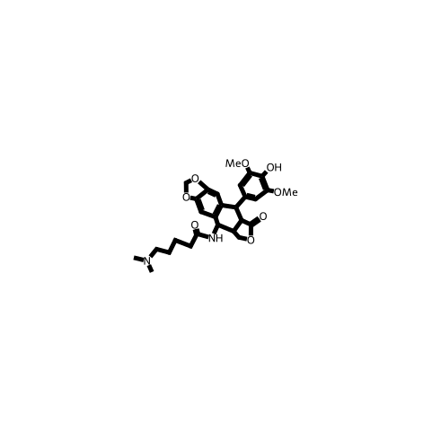 COc1cc(C2c3cc4c(cc3C(NC(=O)CCCCN(C)C)C3COC(=O)C23)OCO4)cc(OC)c1O